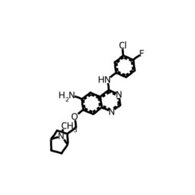 CN1C2CCC1C(COc1cc3ncnc(Nc4ccc(F)c(Cl)c4)c3cc1N)C2